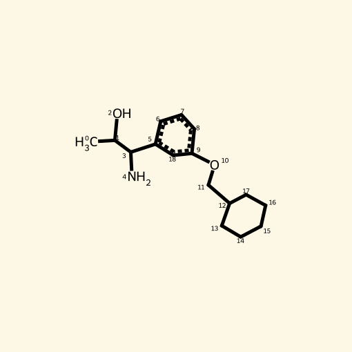 CC(O)C(N)c1cccc(OCC2CCCCC2)c1